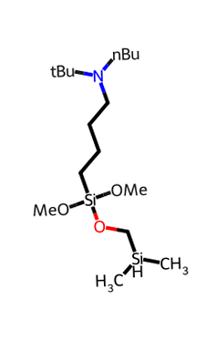 CCCCN(CCCC[Si](OC)(OC)OC[SiH](C)C)C(C)(C)C